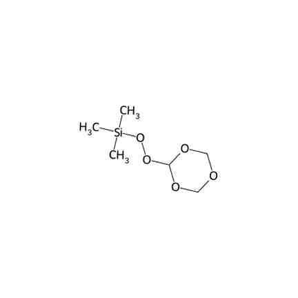 C[Si](C)(C)OOC1OCOCO1